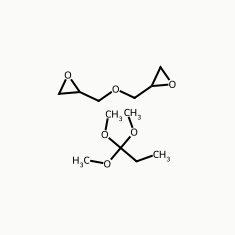 C(OCC1CO1)C1CO1.CCC(OC)(OC)OC